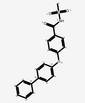 CS(=O)(=O)NC(=O)c1ccc(Oc2ccc(-c3ccccc3)cc2)cc1